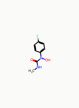 CNC(=O)N(O)c1ccc(F)cc1